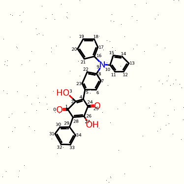 O=C1C(O)=C(c2ccc(N(c3ccccc3)c3ccccc3)cc2)C(=O)C(O)=C1c1ccccc1